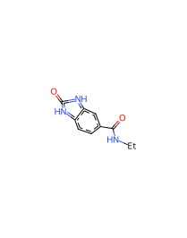 CCNC(=O)c1ccc2[nH]c(=O)[nH]c2c1